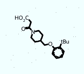 CC(C)(C)c1ccccc1OCC1CCN(C(=O)CC(=O)O)CC1